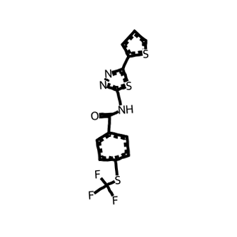 O=C(Nc1nnc(-c2cccs2)s1)c1ccc(SC(F)(F)F)cc1